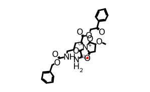 COC1CC(=O)[N+](C(=O)[C@H](C)N)([C@@H](CCCNC(=O)OCc2ccccc2)C(=O)OCC(=O)c2ccccc2)C1=O